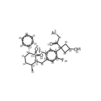 CC(=O)CC(=O)C1(c2cc(F)c(CN3[C@@H](C)CC[C@H](c4ccccc4)S3(=O)=O)cc2F)CC(O)C1